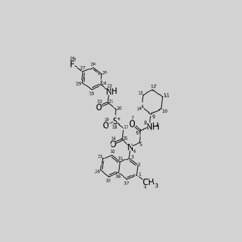 Cc1cc(N(CC(=O)NC2CCCCC2)C(=O)C[S+]([O-])CC(=O)Nc2ccc(F)cc2)c2ccccc2c1